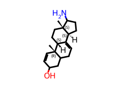 C[C@]12C=CC(O)CC1CC=C1[C@H]2CC[C@]2(C)C(N)CC[C@@H]12